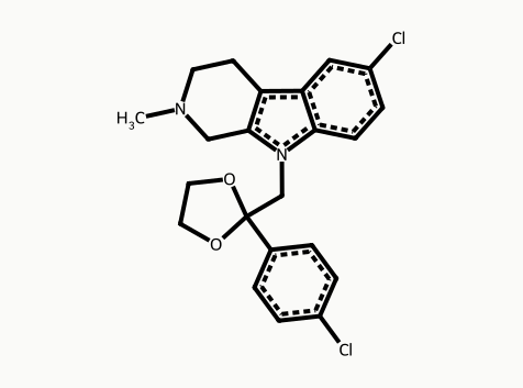 CN1CCc2c(n(CC3(c4ccc(Cl)cc4)OCCO3)c3ccc(Cl)cc23)C1